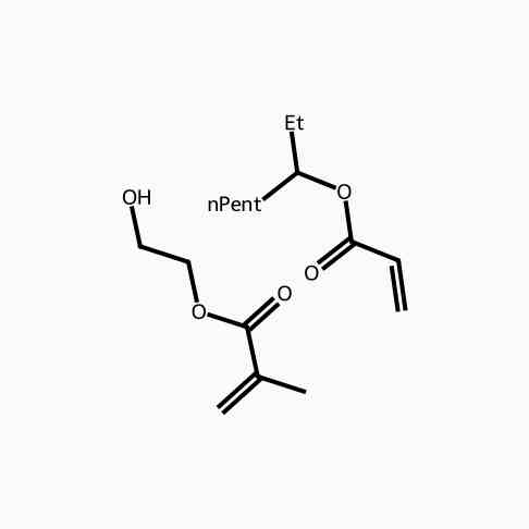 C=C(C)C(=O)OCCO.C=CC(=O)OC(CC)CCCCC